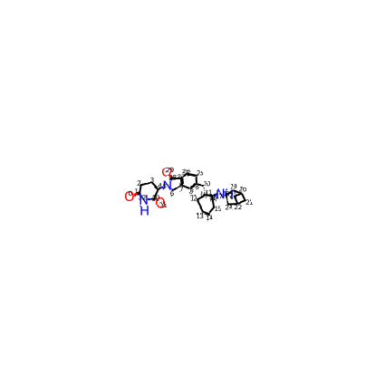 O=C1CCC(N2Cc3cc(C[C@H]4CCCC[C@@H]4NC4CC5CC(C5)C4)ccc3C2=O)C(=O)N1